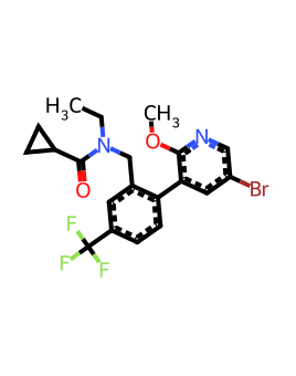 CCN(Cc1cc(C(F)(F)F)ccc1-c1cc(Br)cnc1OC)C(=O)C1CC1